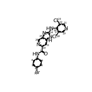 O=C(Nc1ccc(Br)cc1)c1cc2[nH]c(Nc3c(Cl)cncc3Cl)nc2cn1